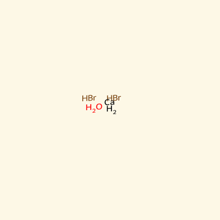 Br.Br.O.[CaH2]